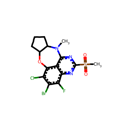 CN1c2nc(S(C)(=O)=O)nc3c(F)c(Br)c(Cl)c(c23)OC2CCCC21